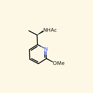 COc1cccc([C@@H](C)NC(C)=O)n1